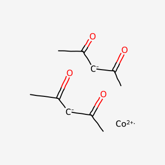 CC(=O)[CH-]C(C)=O.CC(=O)[CH-]C(C)=O.[Co+2]